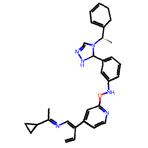 C=C/C(=C\N=C(/C)C1CC1)c1ccnc(ONc2cccc(C3NN=CN3[C@@H](C)C3=CC=CCC3)c2)c1